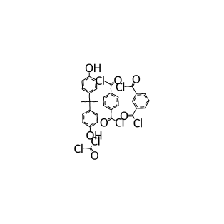 CC(C)(c1ccc(O)cc1)c1ccc(O)cc1.O=C(Cl)Cl.O=C(Cl)c1ccc(C(=O)Cl)cc1.O=C(Cl)c1cccc(C(=O)Cl)c1